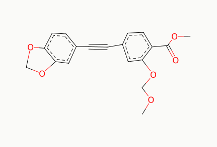 COCOc1cc(C#Cc2ccc3c(c2)OCO3)ccc1C(=O)OC